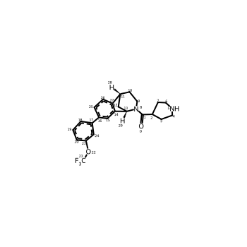 O=C(C1CCNCC1)N1CC[C@@H]2C[C@H]1c1cc(-c3cccc(OC(F)(F)F)c3)ccc12